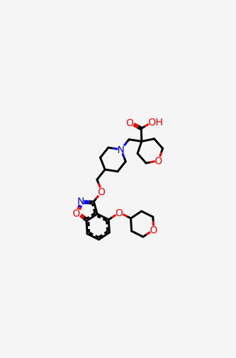 O=C(O)C1(CN2CCC(COc3noc4cccc(OC5CCOCC5)c34)CC2)CCOCC1